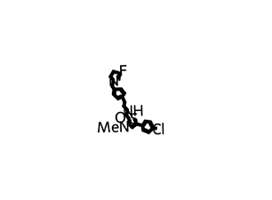 CNc1cc(-c2ccc(Cl)cc2)sc1C(=O)NCCc1ccc(CN2CC[C@H](F)C2)cc1